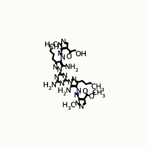 CCCCc1nn(-c2nc(N)nc(-n3nc(CCCC)c(/N=N/c4c(C(=O)OC)cnn4C)c3N)n2)c(N)c1/N=N/c1c(C(=O)CO)cnn1C